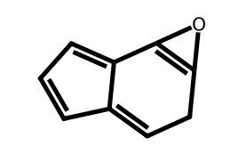 C1=CC2=CCC3=C(O3)C2=C1